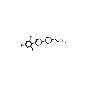 CCCC1CCC(C2CC=C(c3c(F)cc(F)cc3F)CC2)CC1